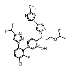 Cc1ncn(-c2cnn([C@H](CCOC(F)F)c3ccc(-c4c(-n5cc(C(F)F)nn5)ccc(Cl)c4F)c[n+]3O)c2)n1